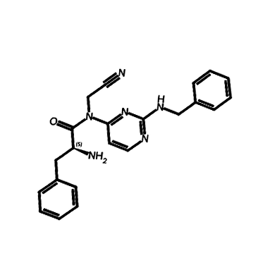 N#CCN(C(=O)[C@@H](N)Cc1ccccc1)c1ccnc(NCc2ccccc2)n1